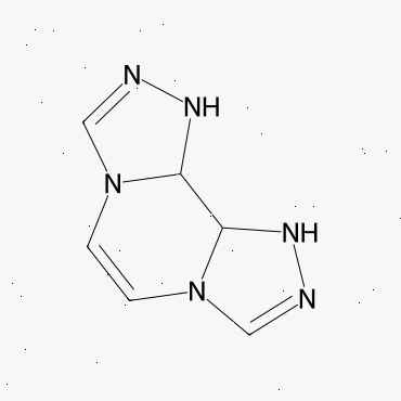 C1=CN2C=NNC2C2NN=CN12